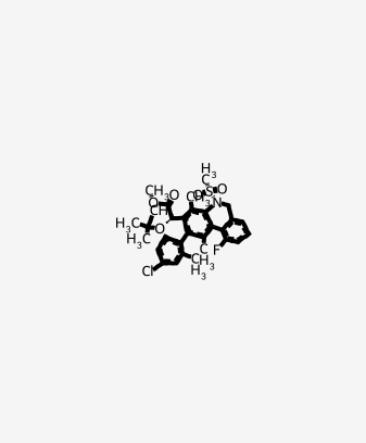 COC(=O)[C@@H](OC(C)(C)C)c1c(C)c2c(c(C)c1-c1ccc(Cl)cc1C)-c1c(F)cccc1CN2S(C)(=O)=O